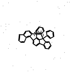 Cn1c2ccc3ccccc3c2c2ccc3c(c21)C(c1ccccc1)(c1ccccc1)c1ccccc1-3